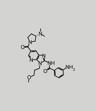 COCCCn1c(NC(=O)c2cccc(N)c2)nc2cc(C(=O)N3CC[C@H](N(C)C)C3)cnc21